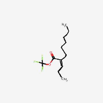 CCC=C(CCCCCC)C(=O)OC(F)(F)F